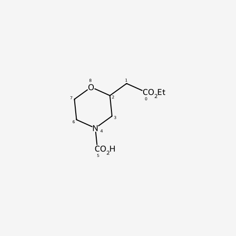 CCOC(=O)CC1CN(C(=O)O)CCO1